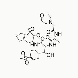 CC(NC(=O)CN1CCOCC1)C(=O)NC(C(=O)NC(CC1=CCCC1)C(=O)C1(C)CO1)C(O)c1ccc(S(C)(=O)=O)cc1